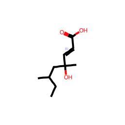 CCC(C)CC(C)(O)/C=C/C(=O)O